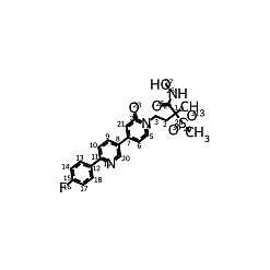 CC(CCn1ccc(-c2ccc(-c3ccc(F)cc3)nc2)cc1=O)(C(=O)NO)S(C)(=O)=O